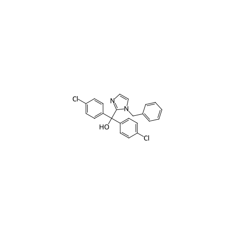 OC(c1ccc(Cl)cc1)(c1ccc(Cl)cc1)c1nccn1Cc1ccccc1